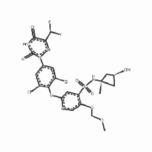 COCOc1cnc(Oc2c(Cl)cc(-n3nc(C(F)F)c(=O)[nH]c3=O)cc2Cl)cc1S(=O)(=O)N[C@]1(C)C[C@@H](O)C1